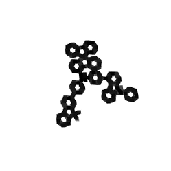 CC1(C)c2ccccc2-c2ccc(-c3ccc(N(c4ccc(-c5cccc6c5c5ccccc5n6-c5ccccc5)cc4)c4cccc5c4-c4ccccc4C54c5ccccc5-c5ccccc54)cc3)cc21